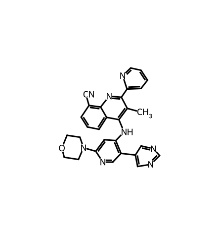 Cc1c(-c2ccccn2)nc2c(C#N)cccc2c1Nc1cc(N2CCOCC2)ncc1-c1cncnc1